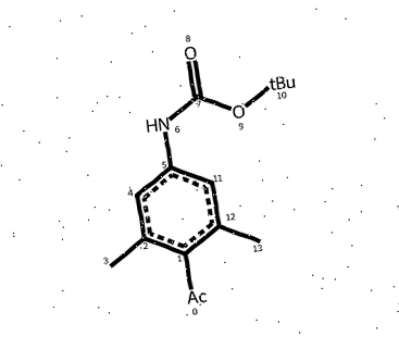 CC(=O)c1c(C)cc(NC(=O)OC(C)(C)C)cc1C